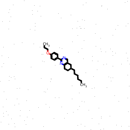 CCCCCCC1CCc2nc(-c3ccc(OCCC)cc3)ncc2C1